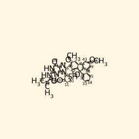 COc1ccc(C(OC[SH]2CC[C@@H](O)[C@@H]2n2cnc3c(=O)[nH]c(NC(=O)C(C)C)nc32)(c2ccccc2)c2ccc(OC)cc2)cc1